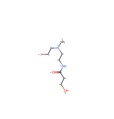 CCCN(CCI)CCNC(=O)CCO